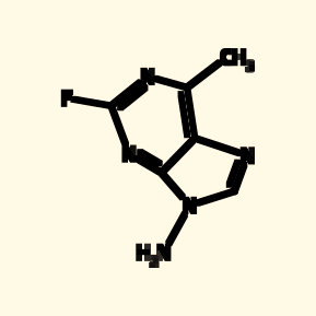 Cc1nc(F)nc2c1ncn2N